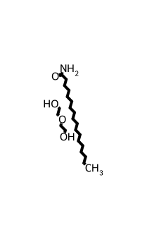 CCCCCCCCCCCCCCCCCC(N)=O.OCCOCCO